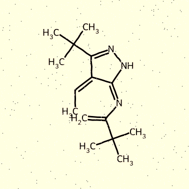 C=C(/N=C1/NN=C(C(C)(C)C)/C1=C/C)C(C)(C)C